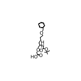 CC(C)(C)OC(=O)NC(CCCCOCc1ccccc1)COCC(=O)O